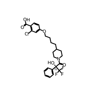 O=C(O)c1ccc(OCCCCC2CCN(C(=O)[C@@](O)(c3ccccc3)C(F)(F)F)CC2)cc1Cl